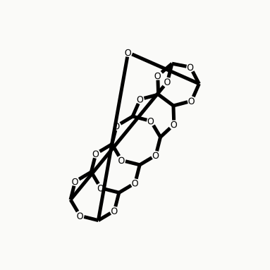 O1C2OC3OC4OC1OC1OC(O2)OC2OC(O1)OC1OC(O4)OC(O3)OC1O2